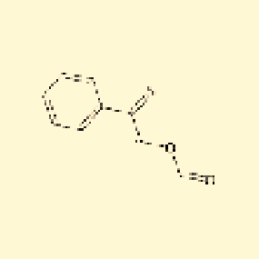 O=CO[CH]C(=S)c1ccccc1